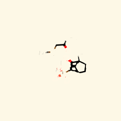 CC12CCC(C(S(=O)(=O)[O-])C1=O)C2(C)C.CCCCC(=O)C[S+](C)C(C)(C)C